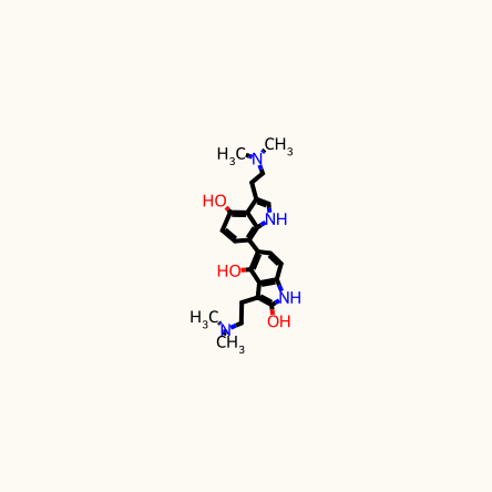 CN(C)CCc1c(O)[nH]c2ccc(-c3ccc(O)c4c(CCN(C)C)c[nH]c34)c(O)c12